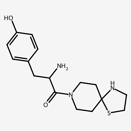 NC(Cc1ccc(O)cc1)C(=O)N1CCC2(CC1)NCCS2